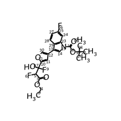 CCOC(=O)C(F)C(O)(F)c1cc(-c2cn(C(=O)OC(C)(C)C)c3cc(F)ccc23)co1